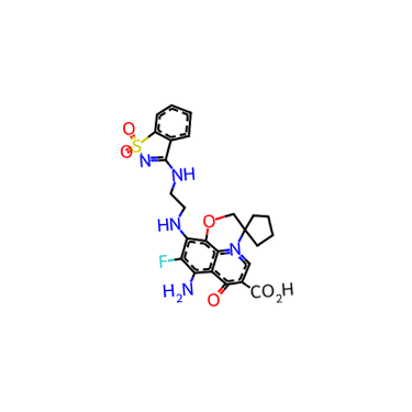 Nc1c(F)c(NCCNC2=NS(=O)(=O)c3ccccc32)c2c3c1c(=O)c(C(=O)O)cn3C1(CCCC1)CO2